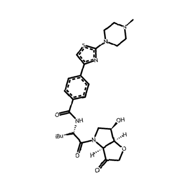 CC[C@H](C)[C@H](NC(=O)c1ccc(-c2csc(N3CCN(C)CC3)n2)cc1)C(=O)N1C[C@@H](O)[C@H]2OCC(=O)[C@H]21